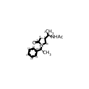 CC(=O)N[C@H](C)[C@H]1CC(=O)N([C@H](C)c2ccccc2)C1